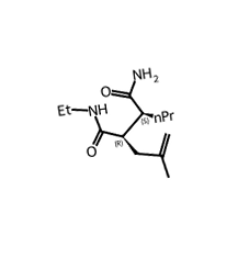 C=C(C)C[C@@H](C(=O)NCC)[C@H](CCC)C(N)=O